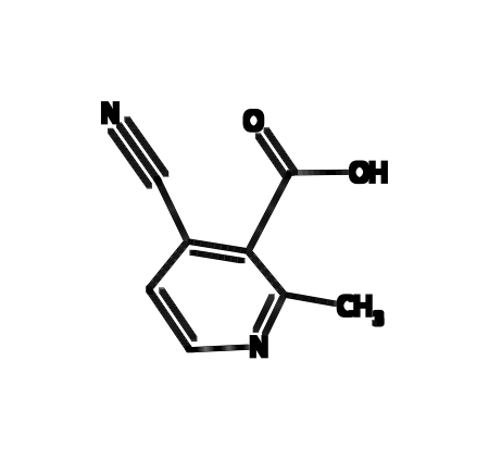 Cc1nccc(C#N)c1C(=O)O